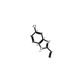 C=Cc1nc2cc(Cl)ccc2o1